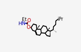 CCNC(=O)OC1CC[C@@]2(C)C(=CCC3C2CC[C@@]2(C)C3CC[C@@H]2[C@@H](C)CCCC(C)C)C1